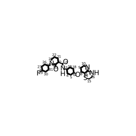 O=C(Nc1ccc(Oc2ccnc3c2SCCN3)cc1)c1cccn(-c2ccc(F)cc2)c1=O